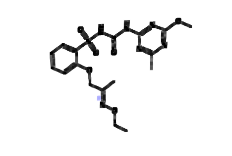 CCO/N=C(\C)COc1ccccc1S(=O)(=O)NC(=O)Nc1nc(C)nc(OC)n1